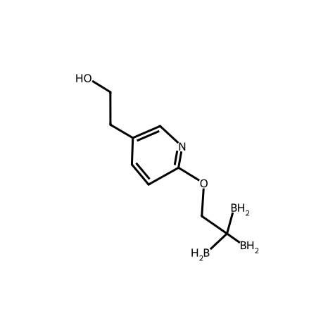 BC(B)(B)COc1ccc(CCO)cn1